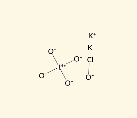 [K+].[K+].[O-]Cl.[O-][I+3]([O-])([O-])[O-]